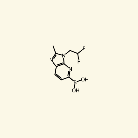 Cc1nc2ccc(B(O)O)nc2n1CC(F)F